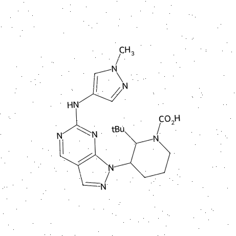 Cn1cc(Nc2ncc3cnn(C4CCCN(C(=O)O)C4C(C)(C)C)c3n2)cn1